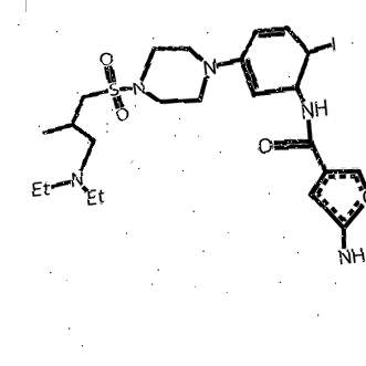 CCN(CC)CC(C)CS(=O)(=O)N1CCN(C2=CC(NC(=O)c3coc(N)c3)C(I)C=C2)CC1